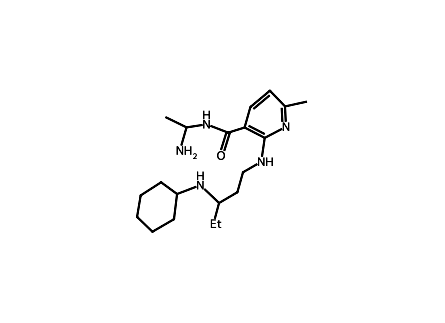 CCC(CCNc1nc(C)ccc1C(=O)NC(C)N)NC1CCCCC1